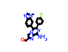 Cn1cnc2ccc(-c3c(-c4ccc(F)cc4)nc(N)c4nc(C=O)cn34)cc21